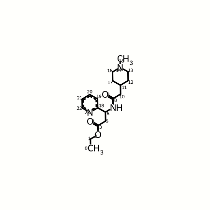 CCOC(=O)CC(NC(=O)CC1CCN(C)CC1)c1ccccn1